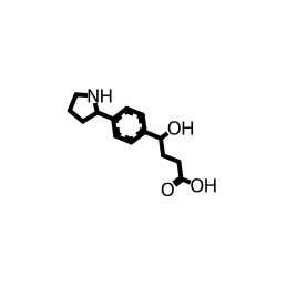 O=C(O)CCC(O)c1ccc(C2CCCN2)cc1